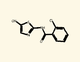 O=Nc1cnc(NC(=O)c2ccccc2Cl)s1